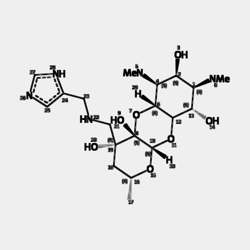 CN[C@@H]1[C@H](O)[C@H](NC)[C@H]2O[C@]3(O)[C@H](OC2[C@H]1O)O[C@H](C)C[C@@]3(O)CNCc1cnc[nH]1